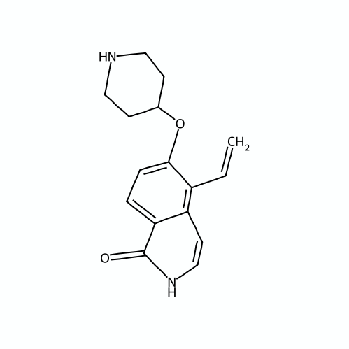 C=Cc1c(OC2CCNCC2)ccc2c(=O)[nH]ccc12